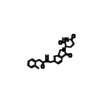 Cc1ccccc1CC(=O)NCc1ccc2c(c1)CN(C1CCC(=O)NC1=O)C2=O